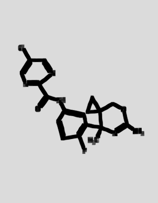 C[C@]1(c2cc(NC(=O)c3ncc(Cl)cn3)ccc2F)N=C(N)OCC12CC2